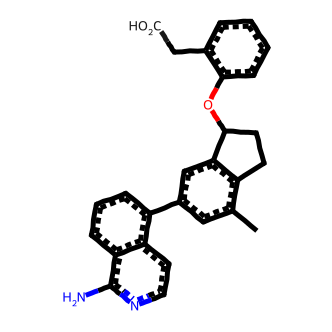 Cc1cc(-c2cccc3c(N)nccc23)cc2c1CCC2Oc1ccccc1CC(=O)O